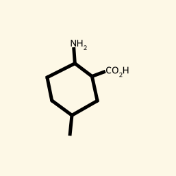 CC1CCC(N)C(C(=O)O)C1